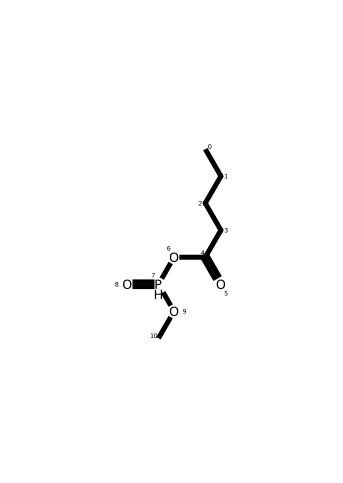 CCCCC(=O)O[PH](=O)OC